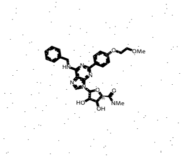 CNC(=O)[C@@H]1OC(n2cnc3c(NCc4ccccc4)nc(-c4ccc(OCCOC)cc4)nc32)C(O)C1O